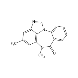 CN1C(=O)c2ccccc2-n2cnc3cc(C(F)(F)F)cc1c32